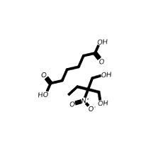 CCC(CO)(CO)[N+](=O)[O-].O=C(O)CCCCC(=O)O